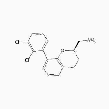 NC[C@H]1CCc2cccc(-c3cccc(Cl)c3Cl)c2O1